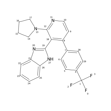 FC(F)(F)c1ccc(-c2ccnc(N3CCCC3)c2-c2nc3ccccc3[nH]2)cc1